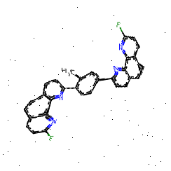 Cc1cc(-c2ccc3ccc4ccc(F)nc4c3n2)ccc1-c1ccc2ccc3ccc(F)nc3c2n1